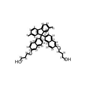 Cc1ccc2c(c1)C(c1ccc3cc(OCCCO)ccc3c1)(c1ccc3cc(OCCCO)ccc3c1)c1cc(C)ccc1-2